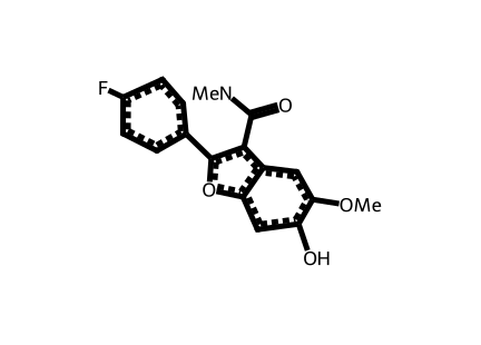 CNC(=O)c1c(-c2ccc(F)cc2)oc2cc(O)c(OC)cc12